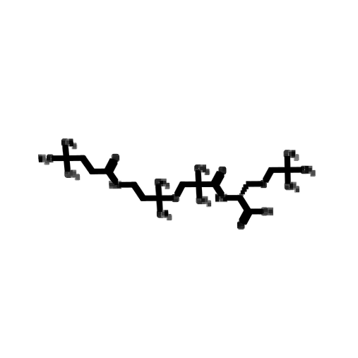 CC(C)(C)CCC(=O)NCCC(C)(C)OCC(C)(C)C(=O)N[C@H](CSCC(C)(C)C)C(=O)O